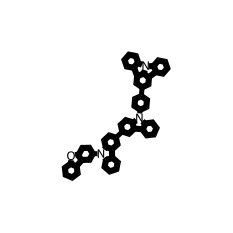 c1ccc2c(c1)oc1ccc(-n3c4ccccc4c4cc(-c5ccc6c(c5)c5ccccc5n6-c5ccc(-c6cc7c8ccccc8n8c9ccccc9c(c6)c78)cc5)ccc43)cc12